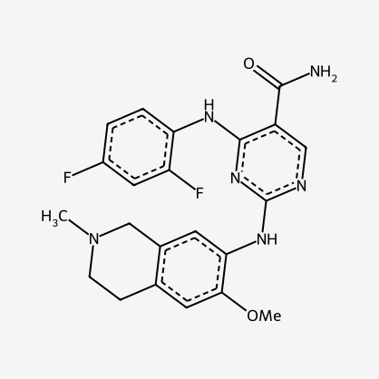 COc1cc2c(cc1Nc1ncc(C(N)=O)c(Nc3ccc(F)cc3F)n1)CN(C)CC2